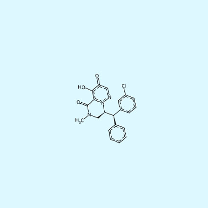 CN1C[C@H]([C@H](c2ccccc2)c2cccc(Cl)c2)n2ncc(=O)c(O)c2C1=O